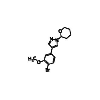 COc1cc(-c2cnn(C3CCCCO3)c2)ccc1Br